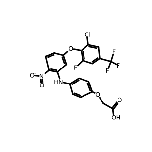 O=C(O)COc1ccc(Nc2cc(Oc3c(F)cc(C(F)(F)F)cc3Cl)ccc2[N+](=O)[O-])cc1